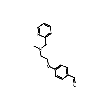 CN(CCOc1ccc(C=O)cc1)Cc1ccccn1